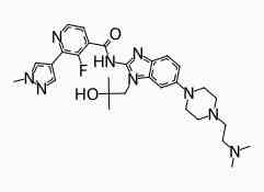 CN(C)CCN1CCN(c2ccc3nc(NC(=O)c4ccnc(-c5cnn(C)c5)c4F)n(CC(C)(C)O)c3c2)CC1